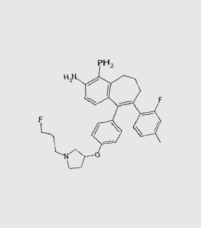 Cc1ccc(C2=C(c3ccc(OC4CCN(CCCF)C4)cc3)c3ccc(N)c(P)c3CCC2)c(F)c1